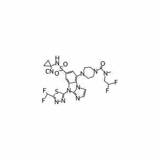 CN(CC(F)F)C(=O)N1CCN(c2cc(S(=O)(=O)NC3(C#N)CC3)cc3c2n2ccnc2n3-c2nnc(C(F)F)s2)CC1